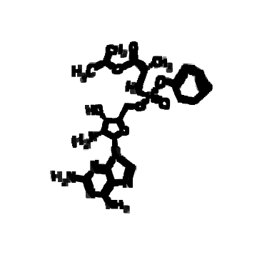 CC(C)OC(=O)[C@H](C)N[P@@](=O)(OC[C@H]1O[C@@H](n2cnc3c(N)nc(N)nc32)[C@H](N)[C@@H]1O)Oc1ccccc1